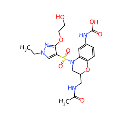 CCn1cc(S(=O)(=O)N2CC(CNC(C)=O)Oc3ccc(NC(=O)O)cc32)c(OCCO)n1